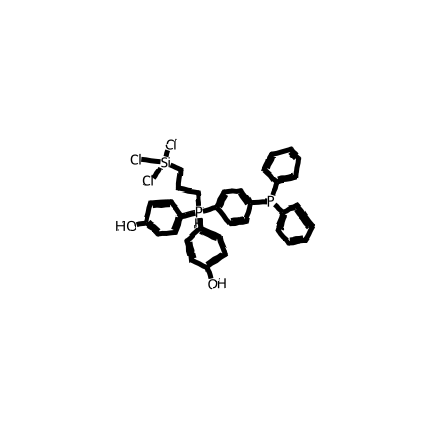 Oc1ccc([PH](CCC[Si](Cl)(Cl)Cl)(c2ccc(O)cc2)c2ccc(P(c3ccccc3)c3ccccc3)cc2)cc1